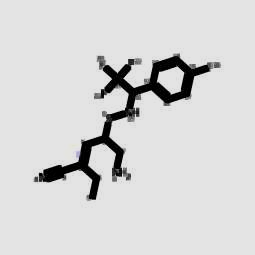 CC/C(C#N)=C\C(CN)SNC(c1ccc(F)cc1)C(F)(F)F